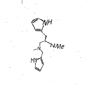 CNC(Cc1ccc[nH]1)CN(C)Cc1ccc[nH]1